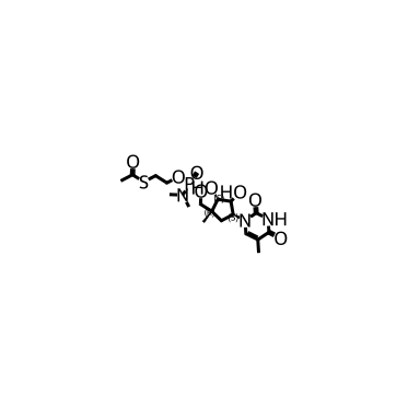 CC(=O)SCCOP(=O)(OC[C@@]1(C)C[C@H](n2cc(C)c(=O)[nH]c2=O)C(O)[C@H]1O)N(C)C